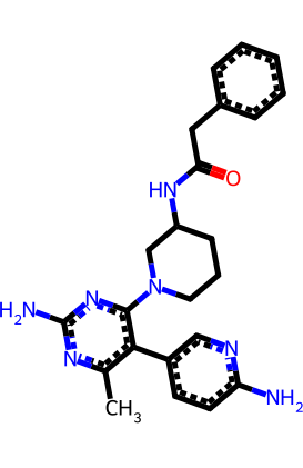 Cc1nc(N)nc(N2CCCC(NC(=O)Cc3ccccc3)C2)c1-c1ccc(N)nc1